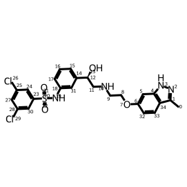 Cc1n[nH]c2cc(OCCNC[C@H](O)c3cccc(NS(=O)(=O)c4cc(Cl)cc(Cl)c4)c3)ccc12